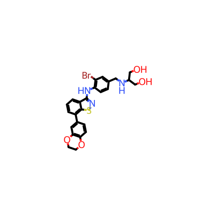 OCC(CO)NCc1ccc(Nc2nsc3c(-c4ccc5c(c4)OCCO5)cccc23)c(Br)c1